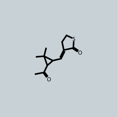 CC(=O)C1C(C=C2CCSC2=O)C1(C)C